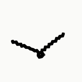 CCCCCCCCCCCCCc1[c]cccc1CCCCCCCCCCCCC